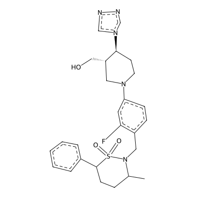 CC1CCC(c2ccccc2)S(=O)(=O)N1Cc1ccc(N2CC[C@H](n3cnnc3)[C@@H](CO)C2)cc1F